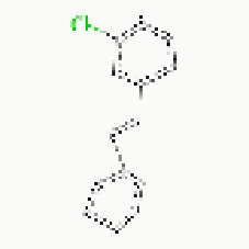 Clc1[c]ccc(C=Cc2ccccc2)c1